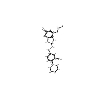 COCc1cc(=O)nc2n1CC(COc1ccc(C3CCCCC3)c(F)c1)O2